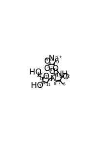 CC(=O)C(=O)[O-].Cc1cn([C@H]2C[C@H](O)[C@@H](CO)O2)c(=O)[nH]c1=O.[Na+]